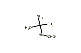 CC(C)(N)N[C]=O